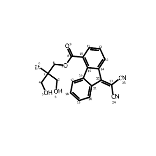 CCC(CO)(CO)COC(=O)c1cccc2c1-c1ccccc1C2=C(C#N)C#N